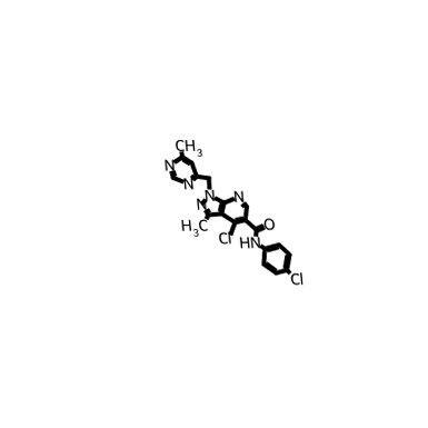 Cc1cc(Cn2nc(C)c3c(Cl)c(C(=O)Nc4ccc(Cl)cc4)cnc32)ncn1